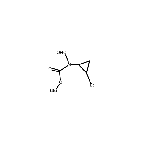 CCC1CC1N(C=O)C(=O)OC(C)(C)C